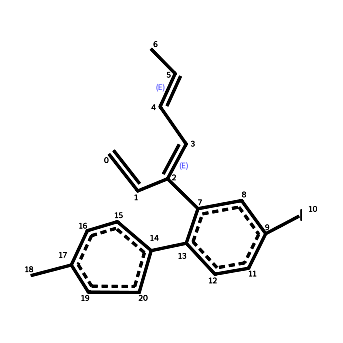 C=C/C(=C\C=C\C)c1cc(I)ccc1-c1ccc(C)cc1